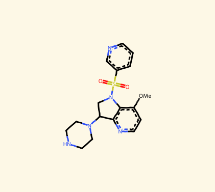 COc1ccnc2c1N(S(=O)(=O)c1cccnc1)CC2N1CCNCC1